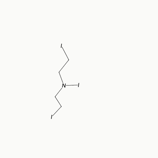 ICCN(I)CCI